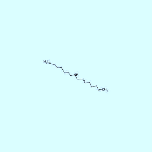 C=CCCCC=CCNCC=CCCCC=C